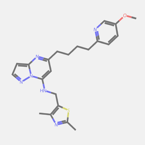 COc1ccc(CCCCc2cc(NCc3sc(C)nc3C)n3nccc3n2)nc1